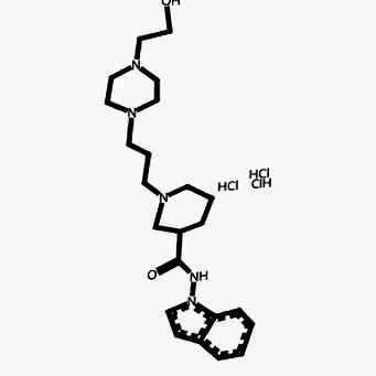 Cl.Cl.Cl.O=C(Nn1ccc2ccccc21)C1CCCN(CCCN2CCN(CCO)CC2)C1